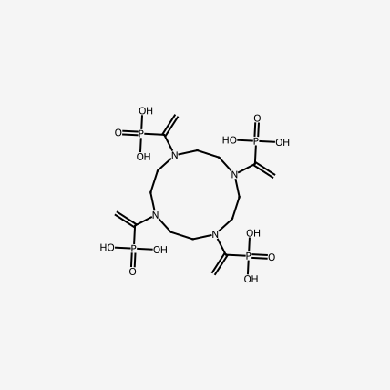 C=C(N1CCN(C(=C)P(=O)(O)O)CCN(C(=C)P(=O)(O)O)CCN(C(=C)P(=O)(O)O)CC1)P(=O)(O)O